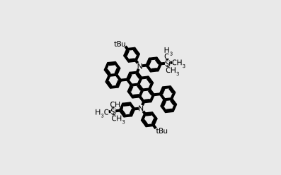 CC(C)(C)c1ccc(N(c2ccc([Si](C)(C)C)cc2)c2cc(-c3cccc4ccccc34)c3ccc4c(N(c5ccc(C(C)(C)C)cc5)c5ccc([Si](C)(C)C)cc5)cc(-c5cccc6ccccc56)c5ccc2c3c54)cc1